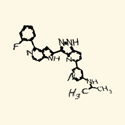 CC(C)Nc1cncc(-c2ccc3[nH]nc(-c4cc5c(-c6ccccc6F)nccc5[nH]4)c3n2)c1